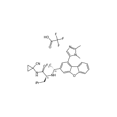 Cc1ncc(-c2cc([C@H](N[C@@H](CC(C)C)C(=O)NC3(C#N)CC3)C(F)(F)F)cc3oc4ccccc4c23)n1C.O=C(O)C(F)(F)F